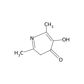 CC1=NC(C)=C(O)C(=O)C1